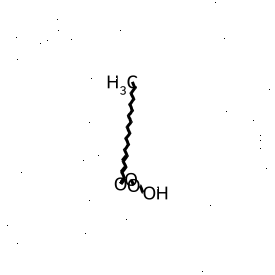 CCCCCCCCCCCCCC=CC=CC(=O)OOCCO